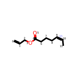 C=CCOC(=O)CCC/C=C\C